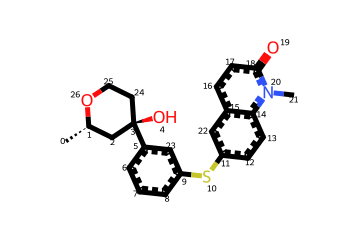 C[C@H]1C[C@@](O)(c2cccc(Sc3ccc4c(ccc(=O)n4C)c3)c2)CCO1